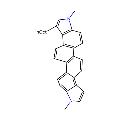 CCCCCCCCc1cn(C)c2ccc3c4ccc5c(ccc6c5ccn6C)c4ccc3c12